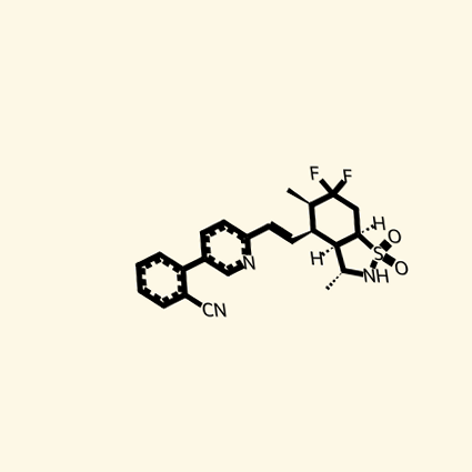 C[C@@H]1[C@H](/C=C/c2ccc(-c3ccccc3C#N)cn2)[C@H]2[C@@H](CC1(F)F)S(=O)(=O)N[C@@H]2C